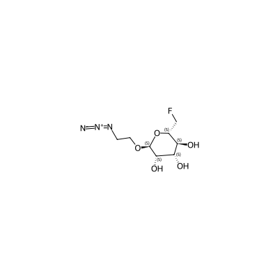 [N-]=[N+]=NCCO[C@H]1O[C@H](CF)[C@@H](O)[C@H](O)[C@@H]1O